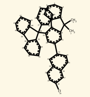 CC1(C)c2ccccc2-c2c1cc(-c1ccc3cc(Cl)ccc3c1)cc2C1(c2ccccc2)c2ccccc2-c2ccccc21